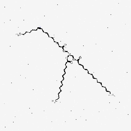 CCCCCC/C=C\CCCCCCCC(=O)OC[C@H](COC(=O)CCCCCCCCCCCCCCC)OC(=O)CCCCCCCCCCCCC